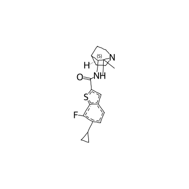 CC1(C)[C@@H](NC(=O)c2cc3ccc(C4CC4)c(F)c3s2)C2CCN1CC2